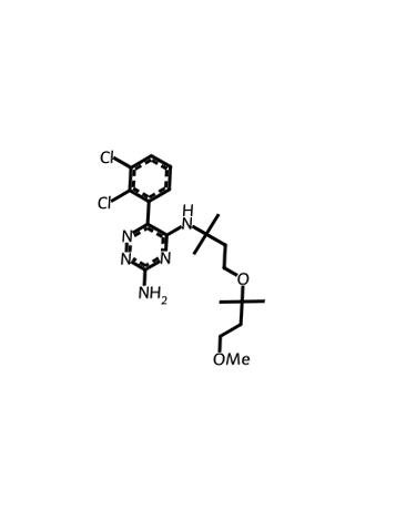 COCCC(C)(C)OCCC(C)(C)Nc1nc(N)nnc1-c1cccc(Cl)c1Cl